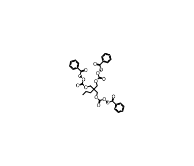 CCCC(COC(=O)OOC(=O)c1ccccc1)(COC(=O)OOC(=O)c1ccccc1)COC(=O)OOC(=O)c1ccccc1